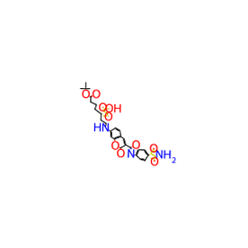 CC(C)(C)OC(=O)CCCC(CCNc1ccc2cc(-c3nc4ccc(S(N)(=O)=O)cc4o3)c(=O)oc2c1)S(=O)(=O)O